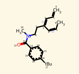 C=C/C=C(\C=C/C)CCN(C)C(=O)c1ccc(C(C)(C)C)cc1